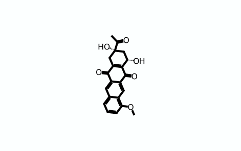 COc1cccc2cc3c(cc12)C(=O)C1=C(C[C@@](O)(C(C)=O)C[C@@H]1O)C3=O